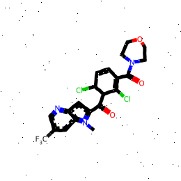 Cn1c(C(=O)C2C(Cl)=C(C(=O)N3CCOCC3)C=CC2Cl)cc2ncc(C(F)(F)F)cc21